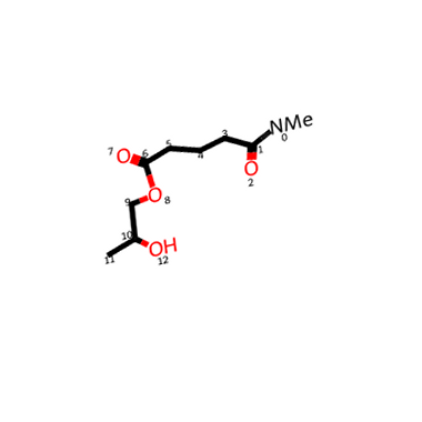 CNC(=O)CCCC(=O)OCC(C)O